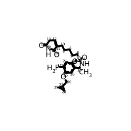 C[C@@H](NS(=O)(=O)CCCCCC1=CCC(=O)NC1=O)c1ccc(P)c(OCC2CC2)c1